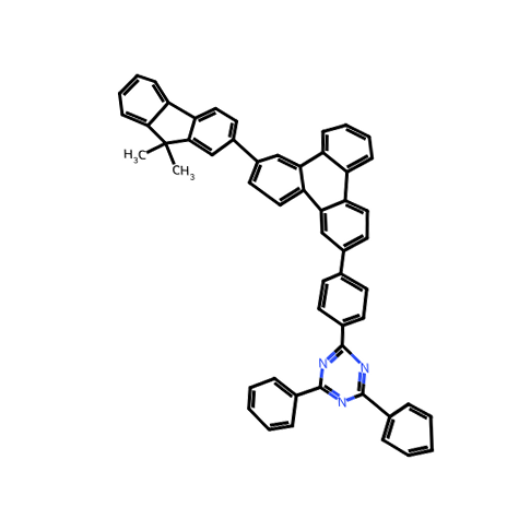 CC1(C)c2ccccc2-c2ccc(-c3ccc4c5cc(-c6ccc(-c7nc(-c8ccccc8)nc(-c8ccccc8)n7)cc6)ccc5c5ccccc5c4c3)cc21